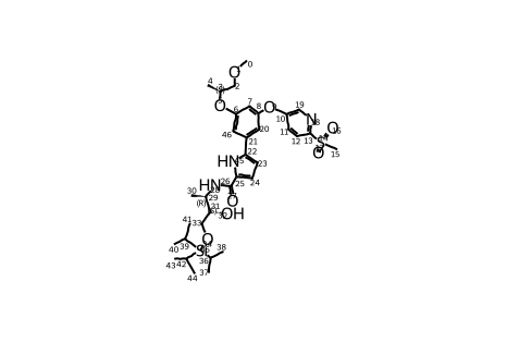 COC[C@H](C)Oc1cc(Oc2ccc(S(C)(=O)=O)nc2)cc(-c2ccc(C(=O)N[C@H](C)[C@H](O)CO[Si](C(C)C)(C(C)C)C(C)C)[nH]2)c1